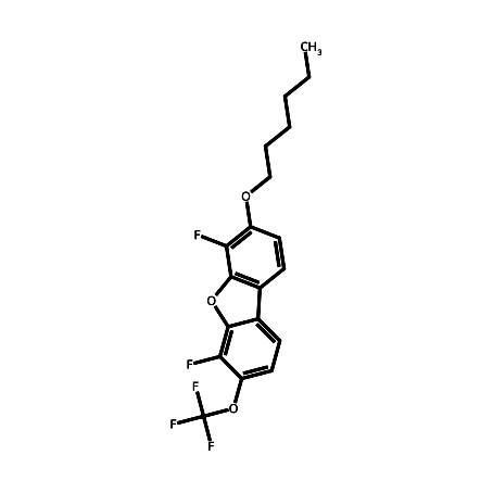 CCCCCCOc1ccc2c(oc3c(F)c(OC(F)(F)F)ccc32)c1F